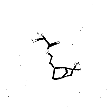 C=C(C)C(=O)OCCC1CC2CC1C(O)(F)C2